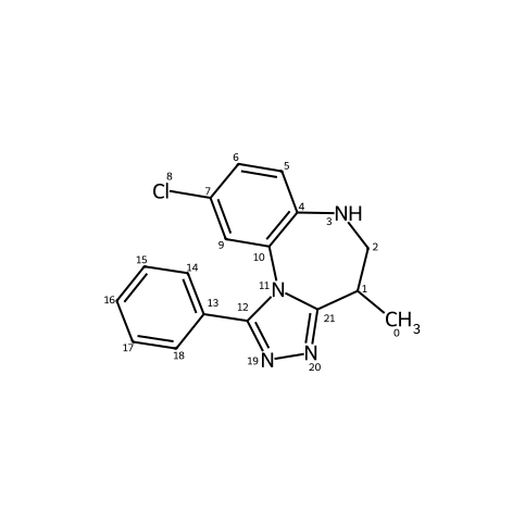 CC1CNc2ccc(Cl)cc2-n2c(-c3ccccc3)nnc21